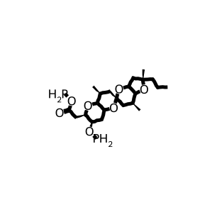 CCC[C@@]1(C)CC2O[C@]3(C[C@H](C)C4O[C@H](CC(=O)OP)[C@H](OP)CC4O3)C[C@H](C)C2O1